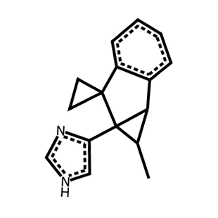 CC1C2c3ccccc3C3(CC3)C12c1c[nH]cn1